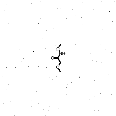 COCC(=O)NOC